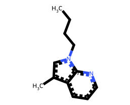 CCCCn1cc(C)c2cccnc21